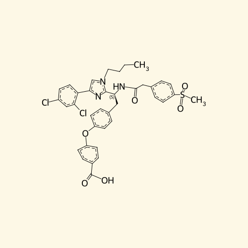 CCCCn1cc(-c2ccc(Cl)cc2Cl)nc1[C@H](Cc1ccc(Oc2ccc(C(=O)O)cc2)cc1)NC(=O)Cc1ccc(S(C)(=O)=O)cc1